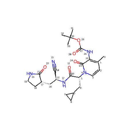 Cc1ccn([C@H](CC2CC2)C(=O)N[C@H](C#N)C[C@@H]2CCNC2=O)c(=O)c1NC(=O)OC(C)(C)C